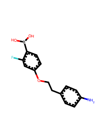 Nc1ccc(CCOc2ccc(B(O)O)c(F)c2)cc1